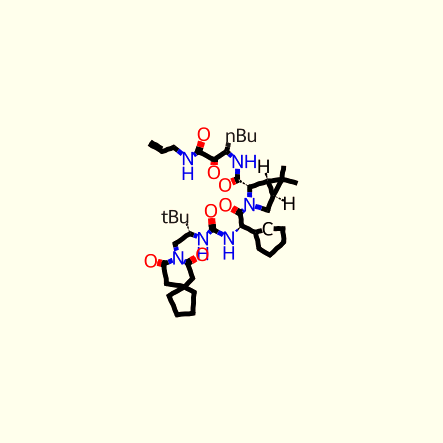 C=CCNC(=O)C(=O)C(CCCC)NC(=O)[C@@H]1[C@@H]2[C@H](CN1C(=O)[C@@H](NC(=O)N[C@H](CN1C(=O)CC3(CCCC3)CC1=O)C(C)(C)C)C1CCCCC1)C2(C)C